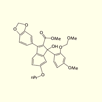 CCCOc1ccc2c(c1)C(O)(c1ccc(OC)cc1OCOC)C(C(=O)OC)=C2c1ccc2c(c1)OCO2